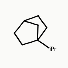 CC(C)C12CCC(CC1)C2